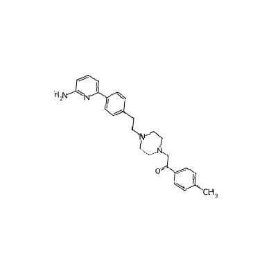 Cc1ccc(C(=O)CN2CCN(CCc3ccc(-c4cccc(N)n4)cc3)CC2)cc1